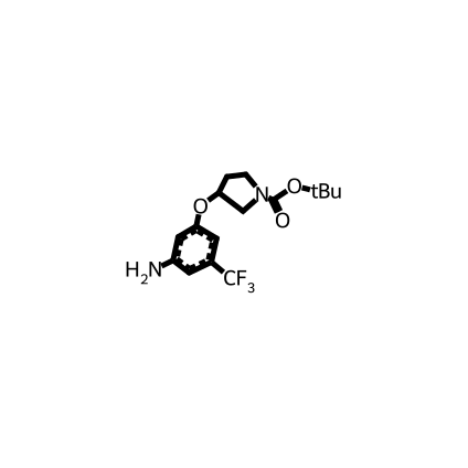 CC(C)(C)OC(=O)N1CCC(Oc2cc(N)cc(C(F)(F)F)c2)C1